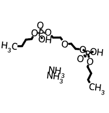 CCCCOP(=O)(O)OCCOCCOP(=O)(O)OCCCC.N.N